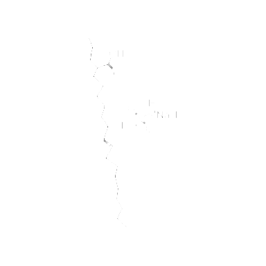 CCCCCCCCC=CCCCCCCC(CCC)C(=O)O.O=S(=O)(O)O.[NaH]